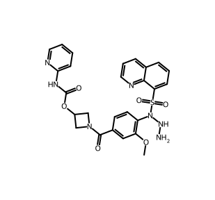 COc1cc(C(=O)N2CC(OC(=O)Nc3ccccn3)C2)ccc1N(NN)S(=O)(=O)c1cccc2cccnc12